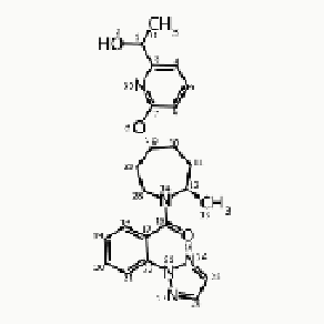 CC(O)c1cccc(O[C@@H]2CC[C@@H](C)N(C(=O)c3ccccc3-n3nccn3)CC2)n1